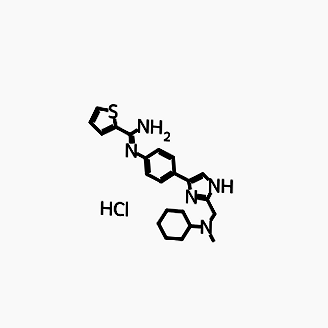 CN(Cc1nc(-c2ccc(/N=C(\N)c3cccs3)cc2)c[nH]1)C1CCCCC1.Cl